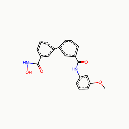 COc1cccc(NC(=O)c2cccc(-c3cccc(C(=O)NO)c3)c2)c1